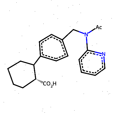 CC(=O)N(Cc1ccc(C2CCCC[C@H]2C(=O)O)cc1)c1ccccn1